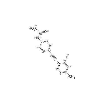 Cc1ccc(C#Cc2ccc(NC(=O)C(=O)O)cc2)c(F)c1